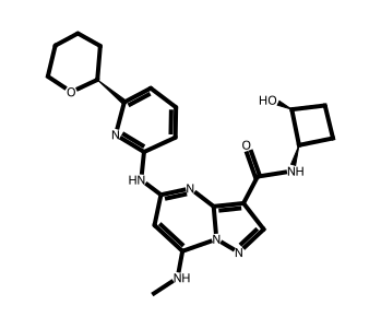 CNc1cc(Nc2cccc([C@@H]3CCCCO3)n2)nc2c(C(=O)N[C@@H]3CC[C@@H]3O)cnn12